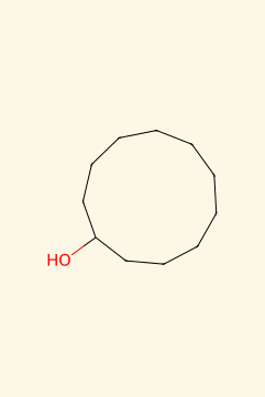 OC1CCCCCCCCCC1